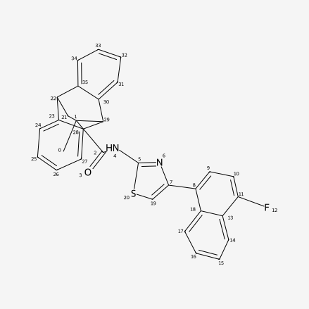 CC1(C(=O)Nc2nc(-c3ccc(F)c4ccccc34)cs2)CC2c3ccccc3C1c1ccccc12